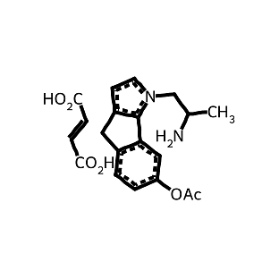 CC(=O)Oc1ccc2c(c1)-c1c(ccn1CC(C)N)C2.O=C(O)C=CC(=O)O